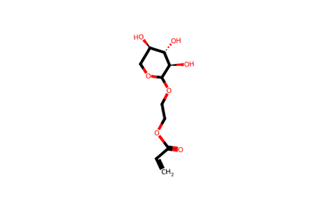 C=CC(=O)OCCOC1OC[C@@H](O)[C@H](O)[C@H]1O